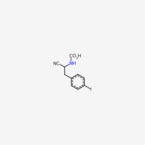 N#CC(Cc1ccc(I)cc1)NC(=O)O